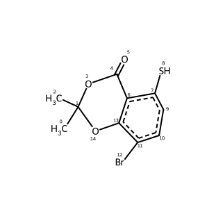 CC1(C)OC(=O)c2c(S)ccc(Br)c2O1